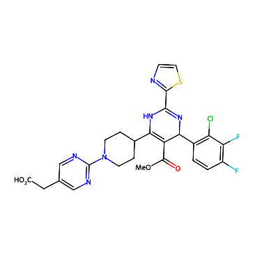 COC(=O)C1=C(C2CCN(c3ncc(CC(=O)O)cn3)CC2)NC(c2nccs2)=NC1c1ccc(F)c(F)c1Cl